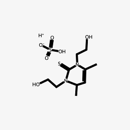 CC1=CC(C)N(CCO)C(=S)N1CCO.O=S(=O)([O-])O.[H+]